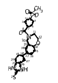 CS(=O)(=O)c1ccc(C(=O)N2CCOc3ccc(-c4ccc5[nH]c(=S)[nH]c5c4)cc3C2)cc1